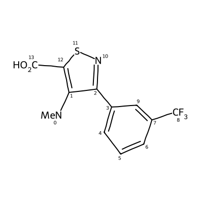 CNc1c(-c2cccc(C(F)(F)F)c2)nsc1C(=O)O